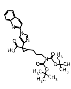 CC(C)(C)OC(=O)N(CCCC1CC1(C(=O)O)c1cn(-c2ccc3ccccc3n2)cn1)C(=O)OC(C)(C)C